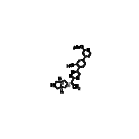 C=C(c1ncc(-c2ccc(-c3ccnc(OC)c3)cc2O)nn1)[C@@H]1C[C@H]2CNC[C@H]2C1